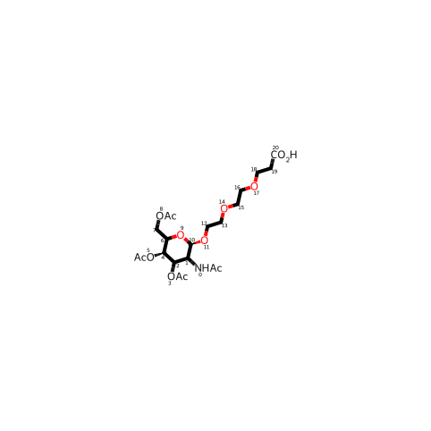 CC(=O)NC1C(OC(C)=O)[C@@H](OC(C)=O)C(COC(C)=O)O[C@H]1OCCOCCOCCC(=O)O